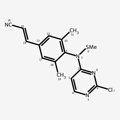 CSN(c1ccnc(Cl)n1)c1c(C)cc(/C=C/C#N)cc1C